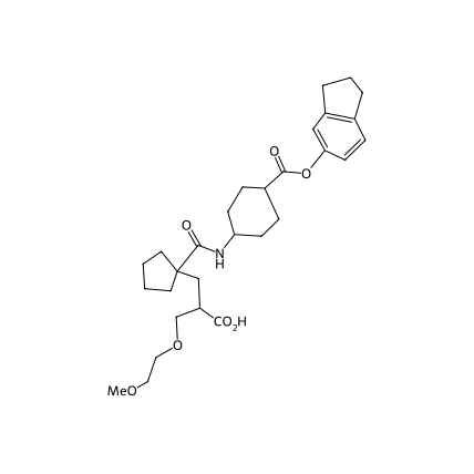 COCCOCC(CC1(C(=O)NC2CCC(C(=O)Oc3ccc4c(c3)CCC4)CC2)CCCC1)C(=O)O